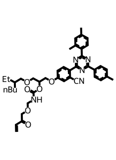 C=CC(=O)COCNC(=O)OC(COCC(CC)CCCC)COc1ccc(-c2nc(-c3ccc(C)cc3)nc(-c3ccc(C)cc3C)n2)c(C#N)c1